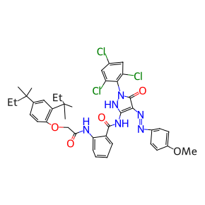 CCC(C)(C)c1ccc(OCC(=O)Nc2ccccc2C(=O)Nc2[nH]n(-c3c(Cl)cc(Cl)cc3Cl)c(=O)c2N=Nc2ccc(OC)cc2)c(C(C)(C)CC)c1